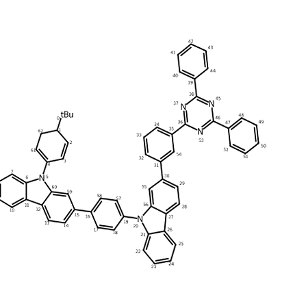 CC(C)(C)C1C=CC(n2c3ccccc3c3ccc(-c4ccc(-n5c6ccccc6c6ccc(-c7cccc(-c8nc(-c9ccccc9)nc(-c9ccccc9)n8)c7)cc65)cc4)cc32)=CC1